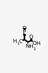 CC(C#P=O)[C@@H](N)C(=O)O